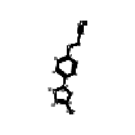 C#CCOc1ccc([C@H]2CC(Br)=NO2)cc1